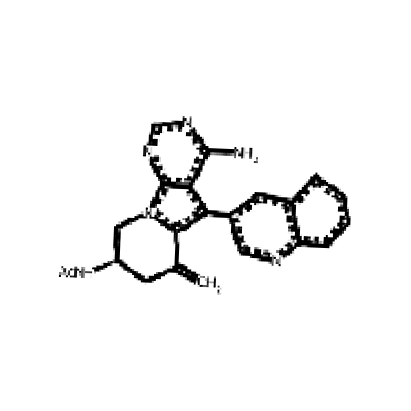 C=C1C[C@@H](NC(C)=O)Cn2c1c(-c1cnc3ccccc3c1)c1c(N)ncnc12